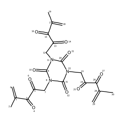 C=C(C)C(=O)C(=O)Cn1c(=O)n(CC(=O)C(=O)C(=C)C)c(=O)n(CC(=O)C(=O)C(=C)C)c1=O